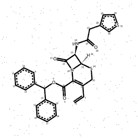 C=CC1=C(C(=O)OC(c2ccccc2)c2ccccc2)N2C(=O)[C@@H](NC(=O)Cc3ccsc3)[C@H]2SC1